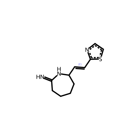 N=C1CCCCC(/C=C/c2nccs2)N1